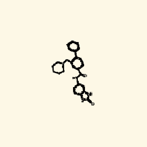 O=C(Nc1ccc2sc(=O)[nH]c2c1)c1ccc(-c2ccccc2)c(CN2CCCCC2)c1